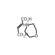 C1COCCN1.O=C(O)C=CC(=O)O